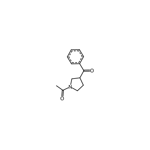 CC(=O)N1CCC(C(=O)c2ccccc2)C1